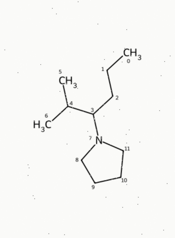 CCCC(C(C)C)N1CCCC1